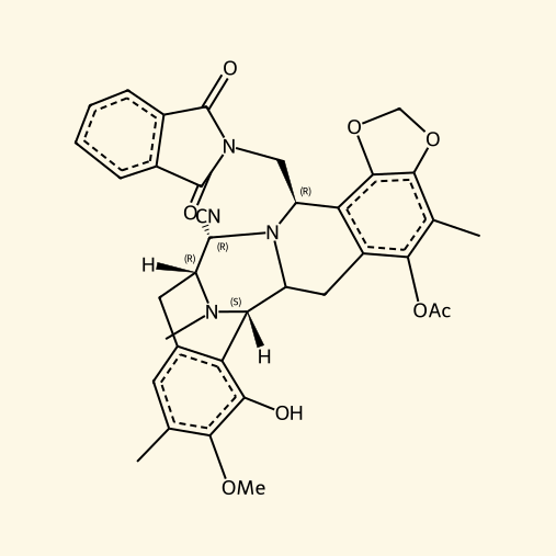 COc1c(C)cc2c(c1O)[C@H]1C3Cc4c(OC(C)=O)c(C)c5c(c4[C@H](CN4C(=O)c6ccccc6C4=O)N3[C@@H](C#N)[C@@H](C2)N1C)OCO5